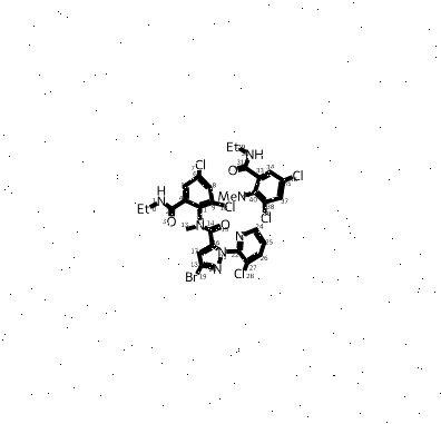 CCNC(=O)c1cc(Cl)cc(Cl)c1N(C)C(=O)c1cc(Br)nn1-c1ncccc1Cl.CCNC(=O)c1cc(Cl)cc(Cl)c1NC